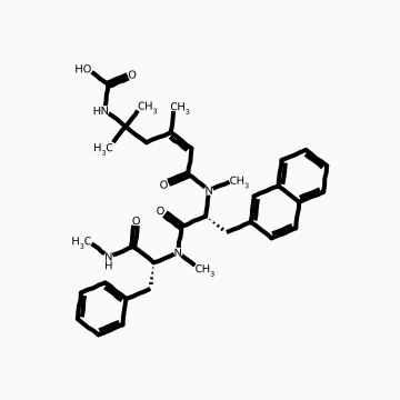 CNC(=O)[C@@H](Cc1ccccc1)N(C)C(=O)[C@@H](Cc1ccc2ccccc2c1)N(C)C(=O)C=C(C)CC(C)(C)NC(=O)O